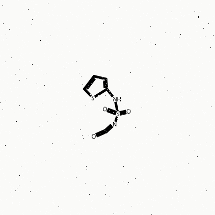 O=C=NS(=O)(=O)Nc1cccs1